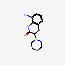 Nc1cccc2c1NC(=O)C(N1CCSCC1)C2